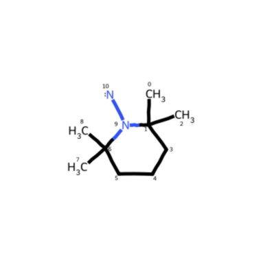 CC1(C)CCCC(C)(C)N1[N]